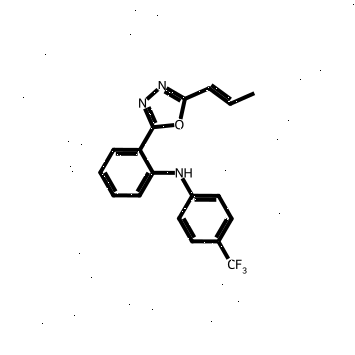 CC=Cc1nnc(-c2ccccc2Nc2ccc(C(F)(F)F)cc2)o1